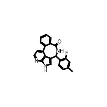 Cc1ccc(C2NC(=O)c3ccccc3-c3ccnc4[nH]cc2c34)c(F)c1